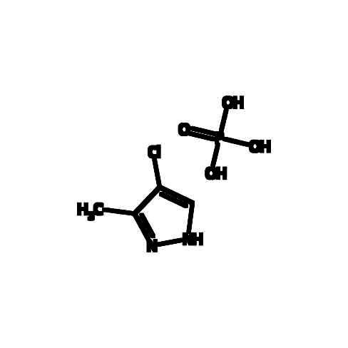 Cc1n[nH]cc1Cl.O=P(O)(O)O